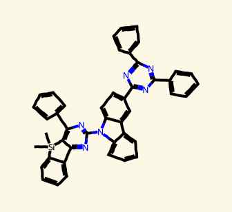 C[Si]1(C)c2ccccc2-c2nc(-n3c4ccccc4c4cc(-c5nc(-c6ccccc6)nc(-c6ccccc6)n5)ccc43)nc(-c3ccccc3)c21